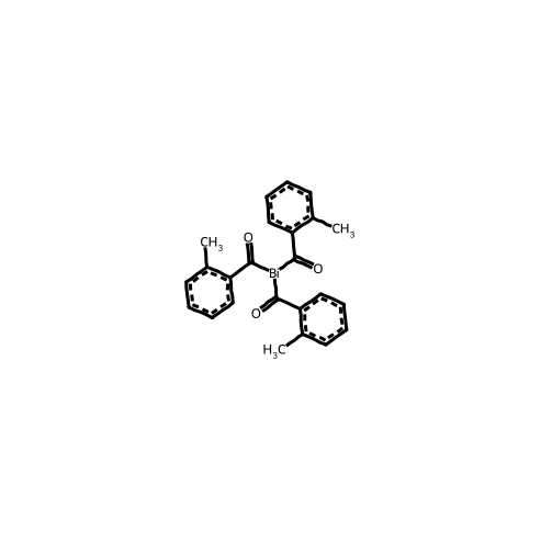 Cc1ccccc1[C](=O)[Bi]([C](=O)c1ccccc1C)[C](=O)c1ccccc1C